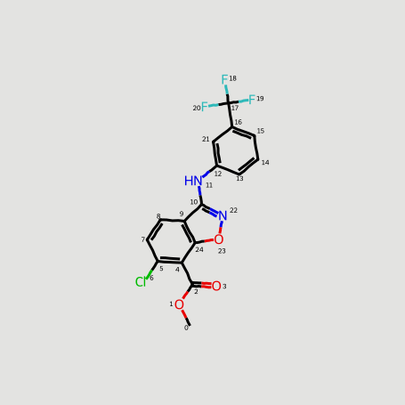 COC(=O)c1c(Cl)ccc2c(Nc3cccc(C(F)(F)F)c3)noc12